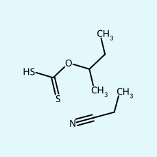 CCC#N.CCC(C)OC(=S)S